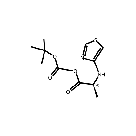 C[C@H](Nc1cscn1)C(=O)OC(=O)OC(C)(C)C